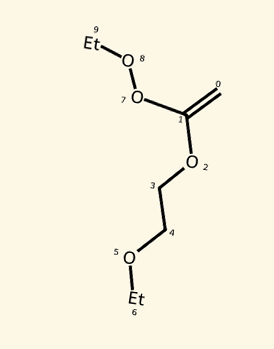 C=C(OCCOCC)OOCC